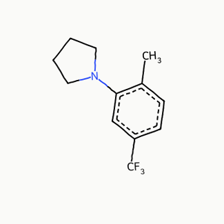 Cc1ccc(C(F)(F)F)cc1N1CCCC1